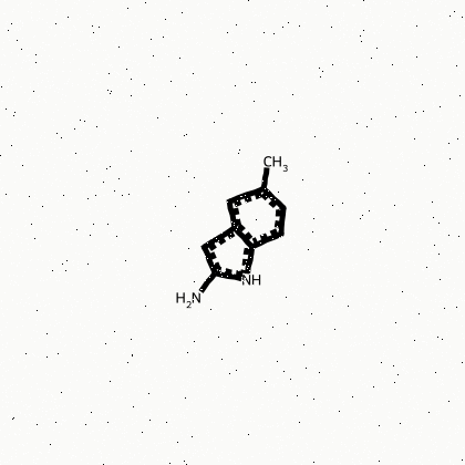 Cc1ccc2[nH]c(N)cc2c1